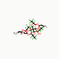 C=CC(=O)OCC(F)(OC(F)(F)C(C(F)(F)OC(F)(CO)C(F)(F)F)(C(F)(F)OC(F)(COC(=O)C=C)C(F)(F)F)C(F)(F)OC(F)(COC(=O)C=C)C(F)(F)F)C(F)(F)F